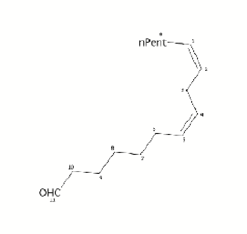 CCCCC/C=C\C/C=C\CCCCCC=O